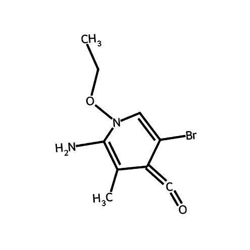 CCON1C=C(Br)C(=C=O)C(C)=C1N